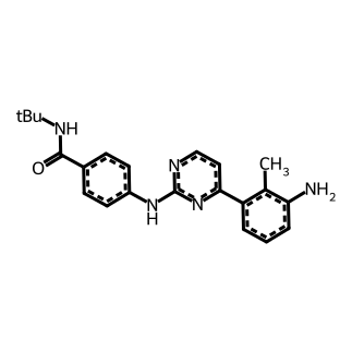 Cc1c(N)cccc1-c1ccnc(Nc2ccc(C(=O)NC(C)(C)C)cc2)n1